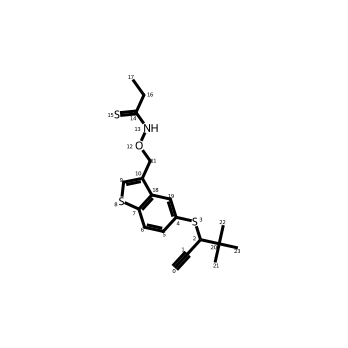 C#CC(Sc1ccc2scc(CONC(=S)CC)c2c1)C(C)(C)C